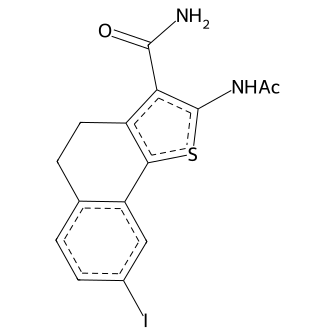 CC(=O)Nc1sc2c(c1C(N)=O)CCc1ccc(I)cc1-2